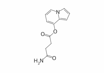 NC(=O)CCC(=O)Oc1cccn2cccc12